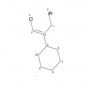 CC(C)CC(=CCl)C1CCCCC1